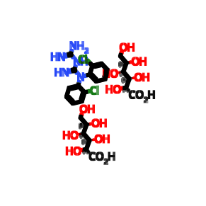 N=C(N)NC(=N)N(c1ccccc1Cl)c1ccccc1Cl.O=C(O)[C@H](O)[C@@H](O)[C@H](O)[C@H](O)CO.O=C(O)[C@H](O)[C@@H](O)[C@H](O)[C@H](O)CO